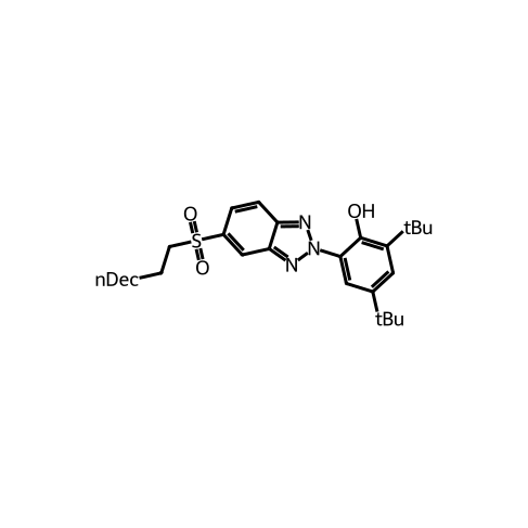 CCCCCCCCCCCCS(=O)(=O)c1ccc2nn(-c3cc(C(C)(C)C)cc(C(C)(C)C)c3O)nc2c1